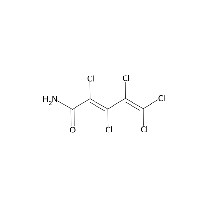 NC(=O)C(Cl)=C(Cl)C(Cl)=C(Cl)Cl